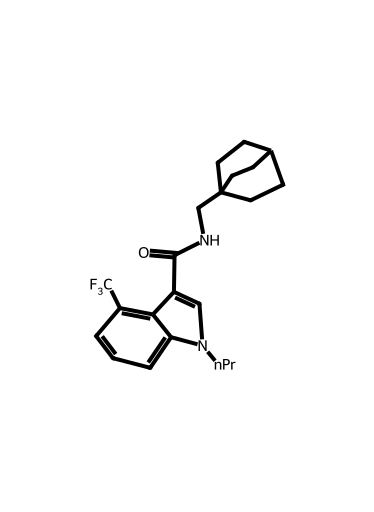 CCCn1cc(C(=O)NCC23CCC(CC2)CC3)c2c(C(F)(F)F)cccc21